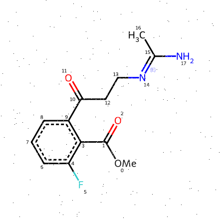 COC(=O)c1c(F)cccc1C(=O)CC/N=C(\C)N